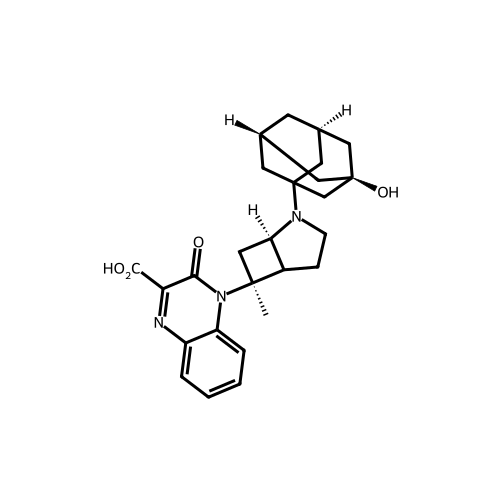 C[C@]1(n2c(=O)c(C(=O)O)nc3ccccc32)C[C@@H]2C1CCN2C12C[C@H]3C[C@@H](C1)C[C@](O)(C3)C2